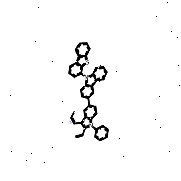 C=Cc1c(/C=C\C)c2cc(-c3ccc4c(c3)c3ccccc3n4-c3cccc4c3sc3ccccc34)ccc2n1-c1ccccc1